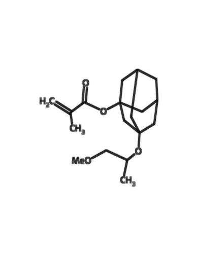 C=C(C)C(=O)OC12CC3CC(C1)CC(OC(C)COC)(C3)C2